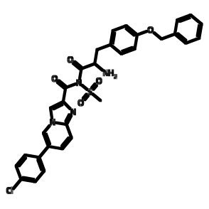 CS(=O)(=O)N(C(=O)c1cn2cc(-c3ccc(Cl)cc3)ccc2n1)C(=O)C(N)Cc1ccc(OCc2ccccc2)cc1